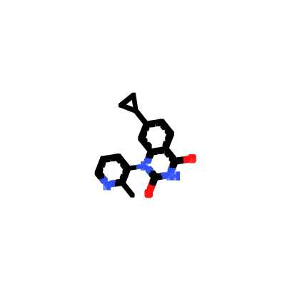 Cc1ncccc1-n1c(=O)[nH]c(=O)c2ccc(C3CC3)cc21